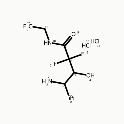 CC(C)C(N)C(O)C(F)(F)C(=O)NCC(F)(F)F.Cl.Cl